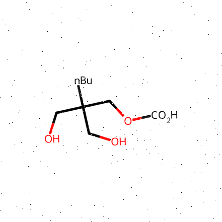 CCCCC(CO)(CO)COC(=O)O